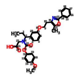 CC[C@@H](c1cccc(OCCc2nc(-c3ccccc3)oc2C)c1)N(CC(=O)O)C(=O)Oc1ccc(OC)cc1